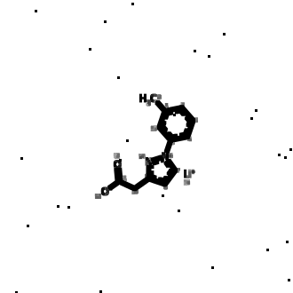 Cc1cccc(-n2ccc(CC(=O)[O-])n2)c1.[Li+]